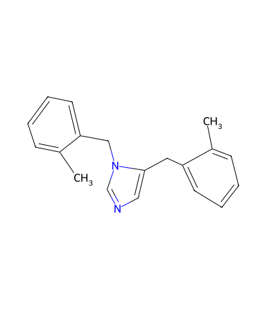 Cc1ccccc1Cc1cncn1Cc1ccccc1C